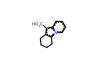 O=C(O)c1c2c(n3ccccc13)CCCC2